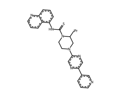 CC(C)C1CN(c2cnc(-c3cccnc3)cn2)CCN1C(=S)Nc1cccc2ncccc12